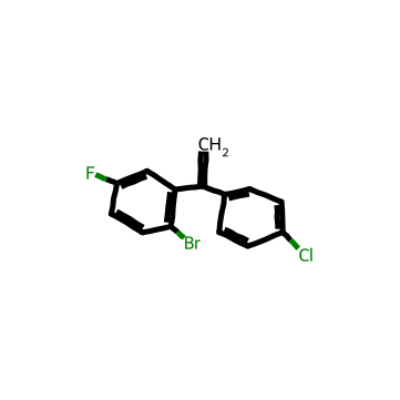 C=C(c1ccc(Cl)cc1)c1cc(F)ccc1Br